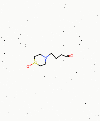 O=[C]CCCN1CC[S+]([O-])CC1